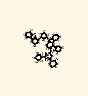 c1ccc(-c2cc(-n3c4ccccc4c4c5c6ccccc6n(-c6cccc(-c7cccc8c7sc7ccccc78)c6)c5ccc43)nc(-c3ccccc3)n2)cc1